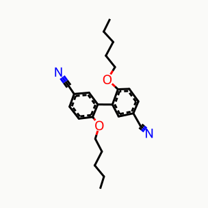 CCCCCOc1ccc(C#N)cc1-c1cc(C#N)ccc1OCCCCC